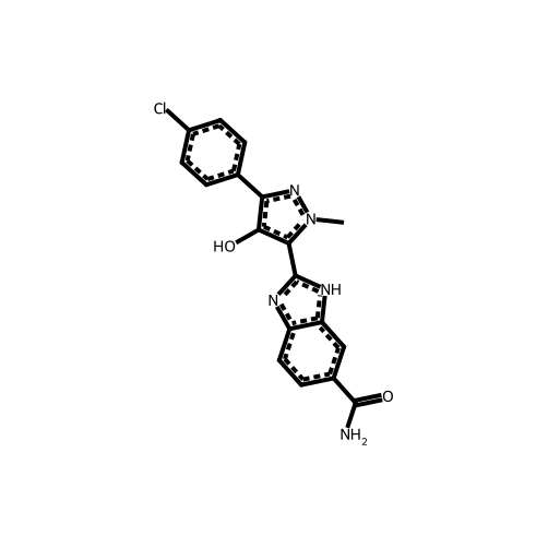 Cn1nc(-c2ccc(Cl)cc2)c(O)c1-c1nc2ccc(C(N)=O)cc2[nH]1